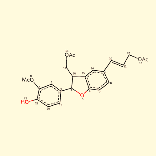 COc1cc(C2Oc3ccc(C=CCOC(C)=O)cc3C2COC(C)=O)ccc1O